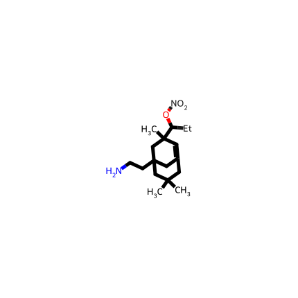 CCC(O[N+](=O)[O-])C1(C)C=C2CC(C)(C)CC(CCN)(C2)C1